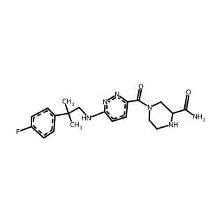 CC(C)(CNc1ccc(C(=O)N2CCNC(C(N)=O)C2)nn1)c1ccc(F)cc1